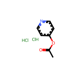 CC(=O)Oc1ccncc1.Cl.Cl